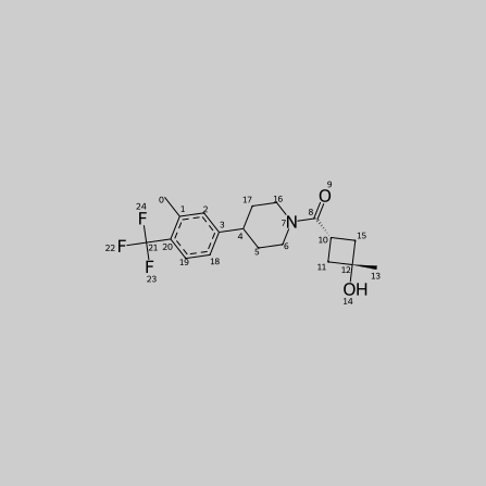 Cc1cc(C2CCN(C(=O)[C@H]3C[C@@](C)(O)C3)CC2)ccc1C(F)(F)F